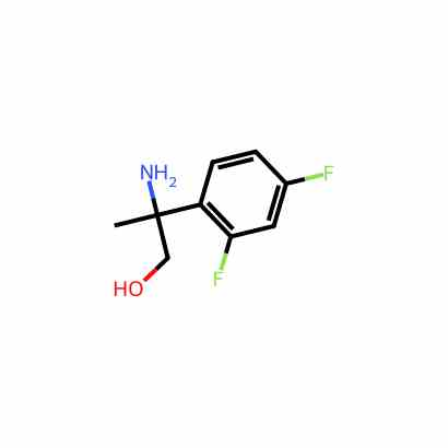 CC(N)(CO)c1ccc(F)cc1F